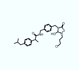 CC(C)Cc1ccc(C(C)C(=O)NCc2ccc(CN3C(=O)SN(CCCCl)C3O)cc2)cc1